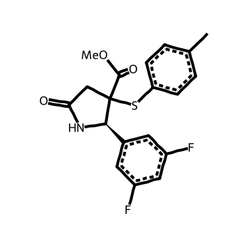 COC(=O)C1(Sc2ccc(C)cc2)CC(=O)N[C@@H]1c1cc(F)cc(F)c1